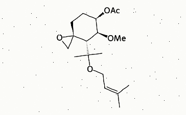 CO[C@H]1[C@H](C(C)(C)OCC=C(C)C)[C@]2(CC[C@H]1OC(C)=O)CO2